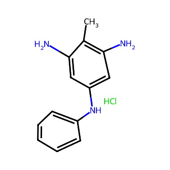 Cc1c(N)cc(Nc2ccccc2)cc1N.Cl